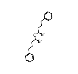 BrC(CCCc1ccccc1)OC(Br)CCCc1ccccc1